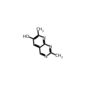 Cc1ncc2cc(O)c(C)nc2n1